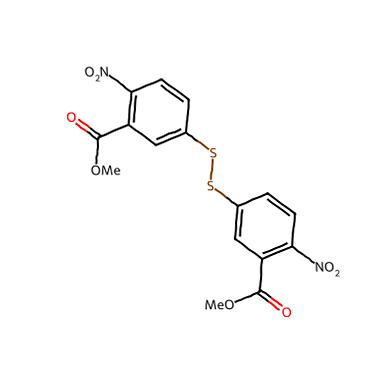 COC(=O)c1cc(SSc2ccc([N+](=O)[O-])c(C(=O)OC)c2)ccc1[N+](=O)[O-]